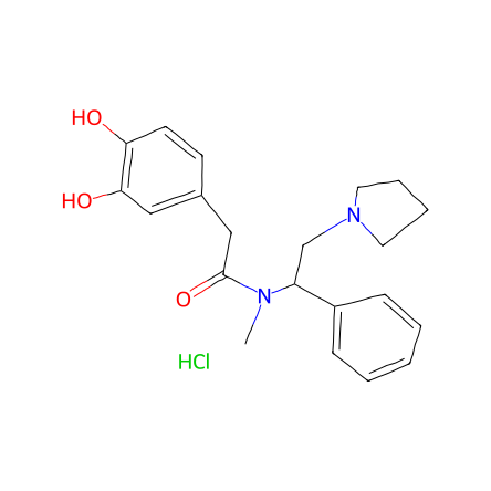 CN(C(=O)Cc1ccc(O)c(O)c1)C(CN1CCCC1)c1ccccc1.Cl